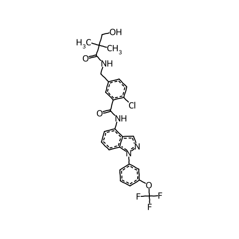 CC(C)(CO)C(=O)NCc1ccc(Cl)c(C(=O)Nc2cccc3c2cnn3-c2cccc(OC(F)(F)F)c2)c1